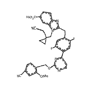 COc1cc(C#N)ccc1COc1nccc(-c2cc(F)c(Cc3nc4ccc(C(=O)O)cc4n3CC3(CC#N)CC3)cc2F)n1